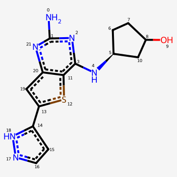 Nc1nc(N[C@H]2CCC(O)C2)c2sc(-c3ccn[nH]3)cc2n1